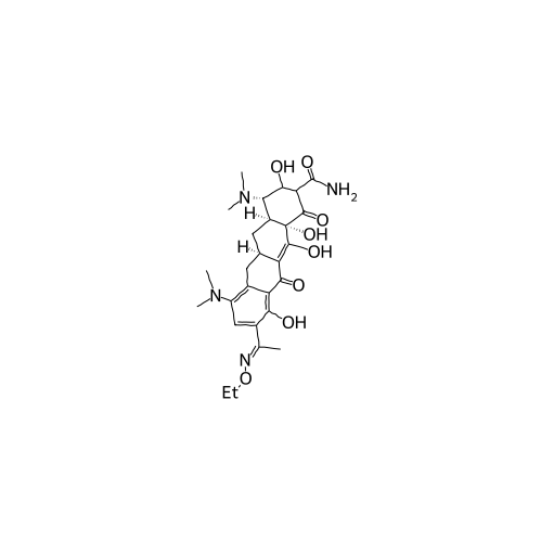 CCO/N=C(\C)c1cc(N(C)C)c2c(c1O)C(=O)C1=C(O)[C@]3(O)C(=O)C(C(N)=O)C(O)[C@@H](N(C)C)[C@@H]3C[C@@H]1C2